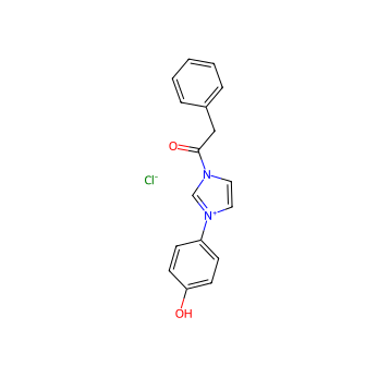 O=C(Cc1ccccc1)n1cc[n+](-c2ccc(O)cc2)c1.[Cl-]